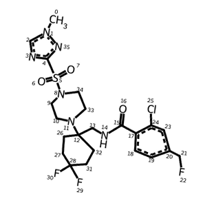 Cn1cnc(S(=O)(=O)N2CCN(C3(CNC(=O)c4ccc(CF)cc4Cl)CCC(F)(F)CC3)CC2)n1